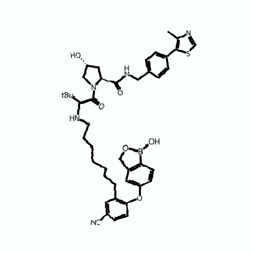 Cc1ncsc1-c1ccc(CNC(=O)[C@@H]2C[C@@H](O)CN2C(=O)C(NCCCCCCCc2cc(C#N)ccc2Oc2ccc3c(c2)COB3O)C(C)(C)C)cc1